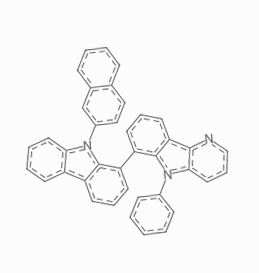 c1ccc(-n2c3cccnc3c3cccc(-c4cccc5c6ccccc6n(-c6ccc7ccccc7c6)c45)c32)cc1